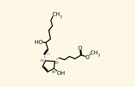 CCCCCC(O)/C=C/[C@H]1C=C[C@H](O)[C@H]1CCCCC(=O)OC